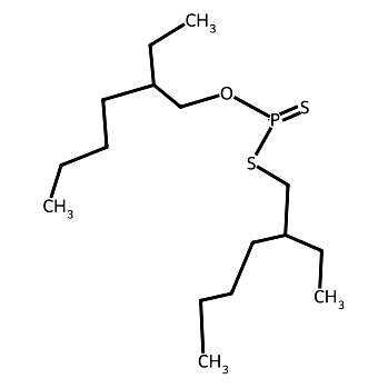 CCCCC(CC)CO[P](=S)SCC(CC)CCCC